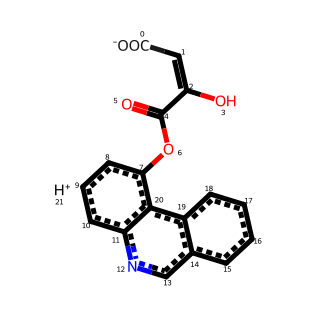 O=C([O-])/C=C(/O)C(=O)Oc1cccc2ncc3ccccc3c12.[H+]